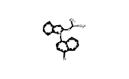 CC(Sc1cc2ccccc2n1-c1ccc(Br)c2ccccc12)C(=O)O